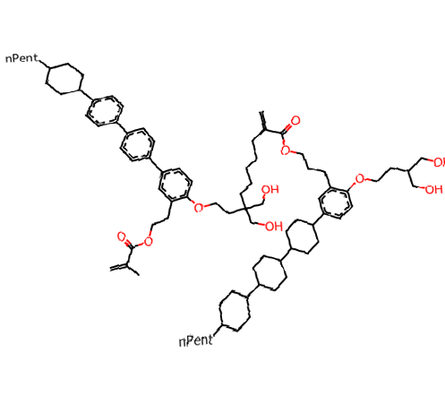 C=C(C)C(=O)OCCc1cc(-c2ccc(-c3ccc(C4CCC(CCCCC)CC4)cc3)cc2)ccc1OCCC(CO)(CO)CCCCCC(=C)C(=O)OCCCc1cc(C2CCC(C3CCC(C4CCC(CCCCC)CC4)CC3)CC2)ccc1OCCC(CO)CO